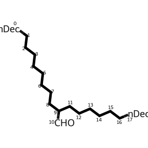 CCCCCCCCCCCCCCCCCCC(C=O)CCCCCCCCCCCCCCCC